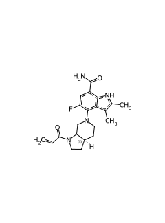 C=CC(=O)N1CC[C@@H]2CCN(c3c(F)cc(C(N)=O)c4[nH]c(C)c(C)c34)CC21